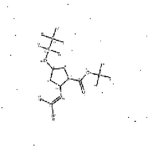 CC(C)(C)OC(=O)N1CC(O[Si](C)(C)C(C)(C)C)CC1C=C(Br)Br